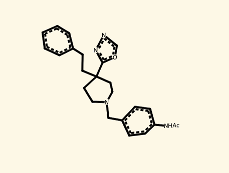 CC(=O)Nc1ccc(CN2CCC(CCc3ccccc3)(c3nnco3)CC2)cc1